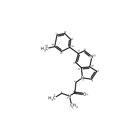 CCN(C)C(=O)Cn1ccc2ncc(-c3cccc(C)c3)cc21